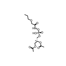 CCCOCC(=O)NOP(=O)(O)OC[C@@H](COC(C)=O)OC(C)=O